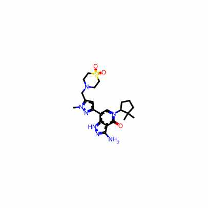 Cn1nc(-c2cn(C3CCCC3(C)C)c(=O)c3c(N)n[nH]c23)cc1CN1CCS(=O)(=O)CC1